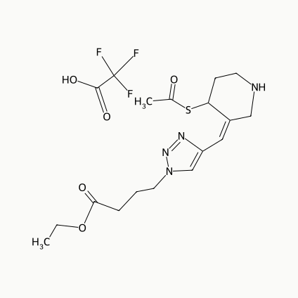 CCOC(=O)CCCn1cc(C=C2CNCCC2SC(C)=O)nn1.O=C(O)C(F)(F)F